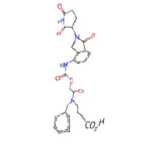 O=C(O)CCN(Cc1ccccc1)C(=O)COC(=O)Nc1cccc2c1CN(C1CCC(=O)NC1=O)C2=O